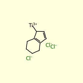 [Cl-].[Cl-].[Cl-].[Ti+3][CH]1C=CC2=C1CCCC2